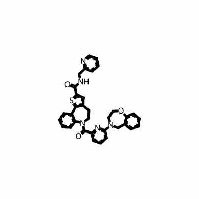 O=C(NCc1ccccn1)c1cc2c(s1)-c1ccccc1N(C(=O)c1cccc(N3CCOc4ccccc4C3)n1)CC2